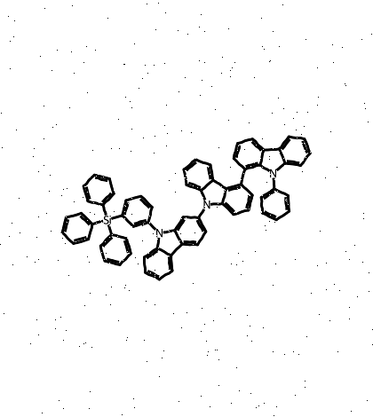 c1ccc(-n2c3ccccc3c3cccc(-c4cccc5c4c4ccccc4n5-c4ccc5c6ccccc6n(-c6cccc([Si](c7ccccc7)(c7ccccc7)c7ccccc7)c6)c5c4)c32)cc1